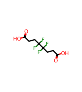 O=C(O)CCC(F)(F)C(F)(F)CCC(=O)O